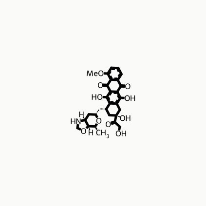 COc1cccc2c1C(=O)c1c(O)c3c(c(O)c1C2=O)C[C@@](O)(C(=O)CO)C[C@@H]3C[C@H]1C[C@@H]2NCO[C@@H]2[C@H](C)O1